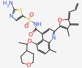 C=C/C=c1/oc(-c2cc(C(=O)NS(=O)(=O)c3cnc(N)s3)c3c(OC(C)C4CCOCC4)ccc(C)c3n2)c(C)c1=C